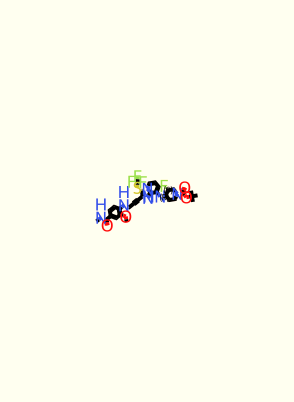 CNC(=O)c1ccc(NCC#Cc2nc3c(N[C@@H]4CCN(C(=O)OC(C)(C)C)C[C@@H]4F)cccn3c2SC(F)(F)F)c(OC)c1